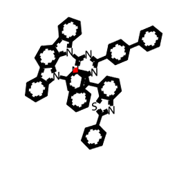 c1ccc(-c2ccc(-c3nc(-c4ccccc4)nc(-n4c5ccccc5c5ccc6c7ccccc7n(-c7ccc(-c8cccc9nc(-c%10ccccc%10)sc89)cc7)c6c54)n3)cc2)cc1